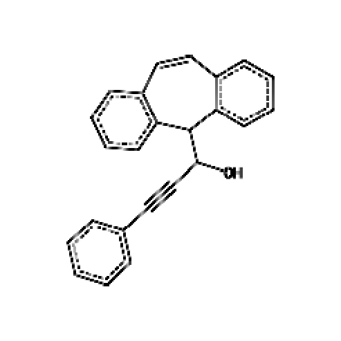 OC(C#Cc1ccccc1)C1c2ccccc2C=Cc2ccccc21